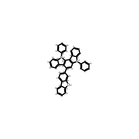 c1ccc(-n2c3ccccc3c3c2cc(-c2ccc4c(c2)oc2ccccc24)c2c4ccccc4n(-c4ccccc4)c23)cc1